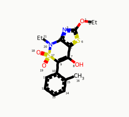 CCOc1nc2c(s1)C(O)=C(c1ccccc1C)S(=O)(=O)N2CC